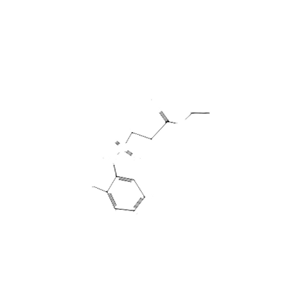 CCOC(=O)CCS(=O)(=O)Oc1ccccc1Cl